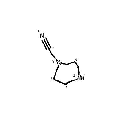 N#CN1CCNC1